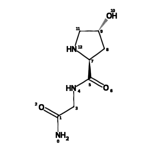 NC(=O)CNC(=O)[C@@H]1C[C@@H](O)CN1